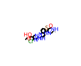 CCOC(O)c1cnc(Nc2ccc3c(ccc4sc5c(c43)NC[C@@H](C)NC5=O)n2)nc1Cl